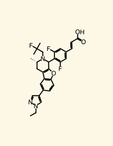 CCn1cc(-c2ccc3oc4c(c3c2)C[C@H](C)N(CC(C)(C)F)C4c2c(F)cc(/C=C/C(=O)O)cc2F)cn1